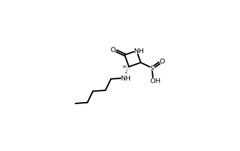 CCCCCN[C@@H]1C(=O)NC1S(=O)O